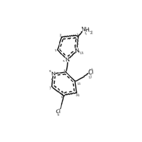 Nc1ccn(-c2ncc(Cl)cc2Cl)n1